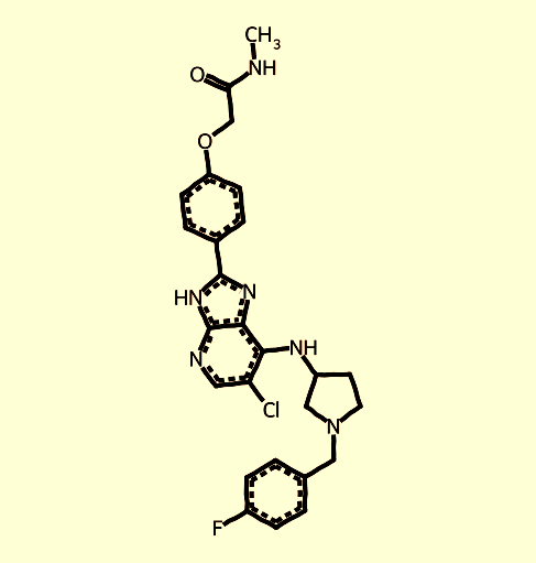 CNC(=O)COc1ccc(-c2nc3c(NC4CCN(Cc5ccc(F)cc5)C4)c(Cl)cnc3[nH]2)cc1